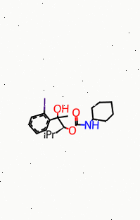 CC(C)[C@H](OC(=O)NC1CCCCC1)C(C)(O)c1ccccc1I